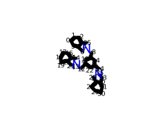 c1ccc2c(c1)CN(Cc1cc(CN3Cc4ccccc4C3)cc(CN3Cc4ccccc4C3)c1)C2